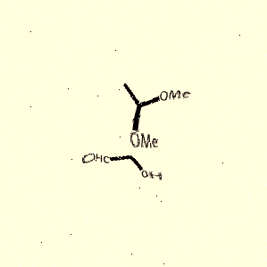 COC(C)OC.O=CCO